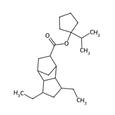 CCC1CC(CC)C2C3CC(CC3C(=O)OC3(C(C)C)CCCC3)C12